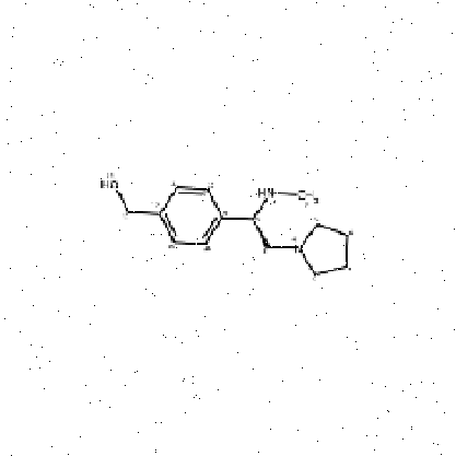 CN[C@@H](CN1CCCC1)c1ccc(CO)cc1